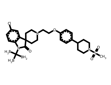 BC(B)(B)N1C(=O)C2(CCN(CCOc3ccc(C4CCN(S(C)(=O)=O)CC4)cc3)CC2)c2cc(Cl)ccc21